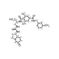 Cc1cccc(CNC(=O)c2cc(Cl)c(C(=O)NC(CNC(=O)NC3CCc4cc(Cl)ccc43)C(=O)O)c(Cl)c2)c1